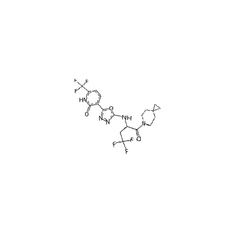 O=C(C(CC(F)(F)F)Nc1nnc(-c2ccc(C(F)(F)F)[nH]c2=O)o1)N1CCC2(CC1)CC2